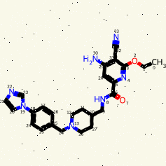 CCOc1nc(C(=O)NCC2CCN(Cc3ccc(-n4ccnc4)cc3)CC2)cc(N)c1C#N